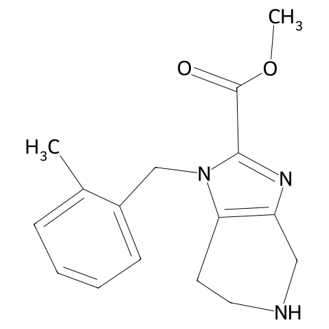 COC(=O)c1nc2c(n1Cc1ccccc1C)CCNC2